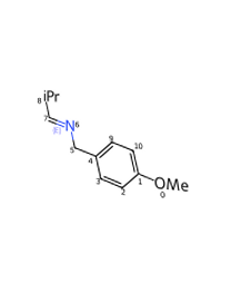 COc1ccc(C/N=C/C(C)C)cc1